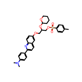 Cc1ccc(S(=O)(=O)OCC(COc2ccc3nc(-c4ccc(N(C)C)cc4)ccc3c2)OC2CCCCO2)cc1